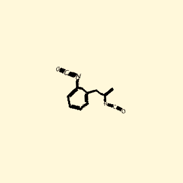 C=C(Cc1ccccc1N=C=O)N=C=O